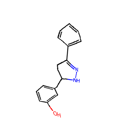 Oc1cccc(C2CC(c3ccccc3)=NN2)c1